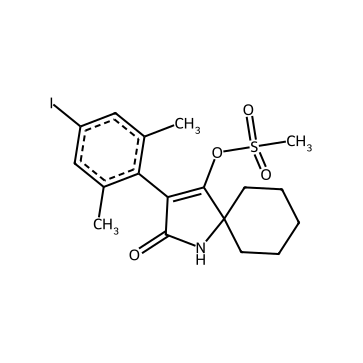 Cc1cc(I)cc(C)c1C1=C(OS(C)(=O)=O)C2(CCCCC2)NC1=O